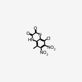 Cc1c2c(c(Cl)c([N+](=O)[O-])c1[N+](=O)[O-])[N]C(=O)C(=O)N2